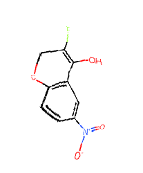 O=[N+]([O-])c1ccc2c(c1)C(O)=C(F)CO2